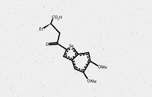 CC[C@H](CC(=O)c1cc2cc(OC)c(OC)cc2[se]1)C(=O)O